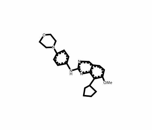 COc1ccc2cnc(Nc3ccc(N4CCOCC4)cc3)nc2c1C1CCCC1